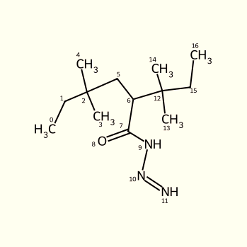 CCC(C)(C)CC(C(=O)NN=N)C(C)(C)CC